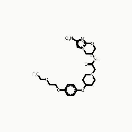 O=C(CN1CCC(Oc2ccc(OCCOCC(F)(F)F)cc2)CC1)N[C@@H]1COc2nc([N+](=O)[O-])cn2C1